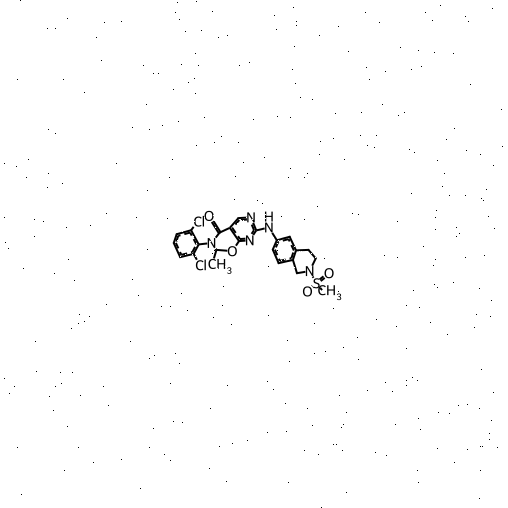 CC1Oc2nc(Nc3ccc4c(c3)CCN(S(C)(=O)=O)C4)ncc2C(=O)N1c1c(Cl)cccc1Cl